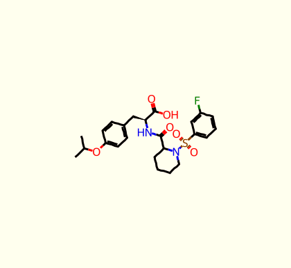 CC(C)Oc1ccc(C[C@H](NC(=O)C2CCCCN2S(=O)(=O)c2cccc(F)c2)C(=O)O)cc1